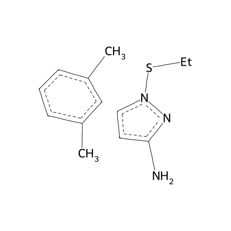 CCSn1ccc(N)n1.Cc1cccc(C)c1